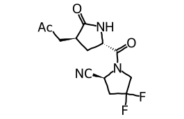 CC(=O)C[C@@H]1C[C@@H](C(=O)N2CC(F)(F)C[C@H]2C#N)NC1=O